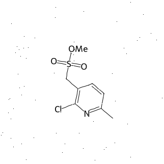 COS(=O)(=O)Cc1ccc(C)nc1Cl